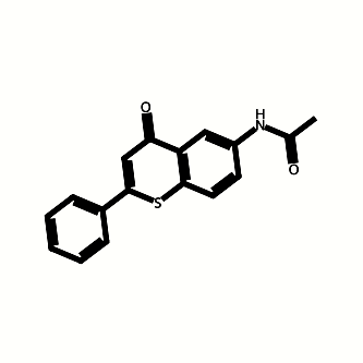 CC(=O)Nc1ccc2sc(-c3ccccc3)cc(=O)c2c1